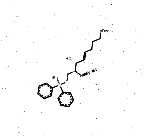 CCCCCCCCCCCCC/C=C/[C@@H](O)[C@H](CO[Si](c1ccccc1)(c1ccccc1)C(C)(C)C)N=[N+]=[N-]